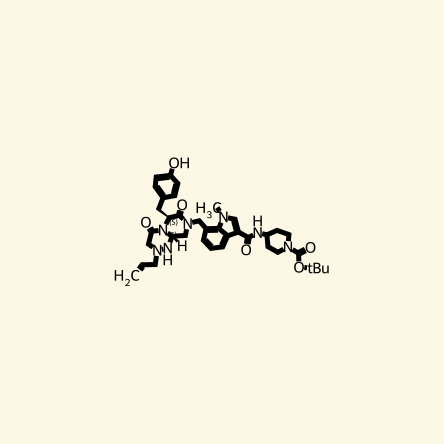 C=CCN1CC(=O)N2[C@H](CN(Cc3cccc4c(C(=O)NC5CCN(C(=O)OC(C)(C)C)CC5)cn(C)c34)C(=O)[C@@H]2Cc2ccc(O)cc2)N1